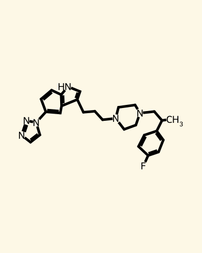 CC(CN1CCN(CCCc2c[nH]c3ccc(-n4ccnn4)cc23)CC1)c1ccc(F)cc1